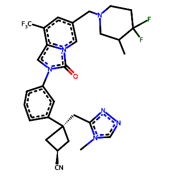 CC1CN(Cc2cc(C(F)(F)F)c3cn(-c4cccc([C@]5(Cc6nncn6C)C[C@H](C#N)C5)c4)c(=O)n3c2)CCC1(F)F